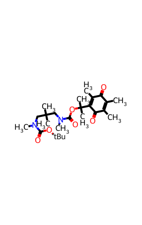 CC1=C(C)C(=O)C(C(C)(C)OC(=O)N(C)CC(C)(C)CN(C)C(=O)OC(C)(C)C)=C(C)C1=O